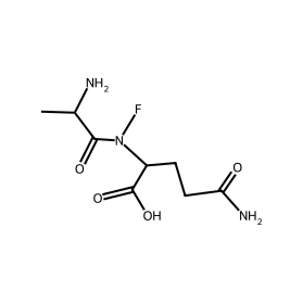 CC(N)C(=O)N(F)C(CCC(N)=O)C(=O)O